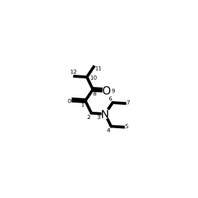 C=C(CN(CC)CC)C(=O)C(C)C